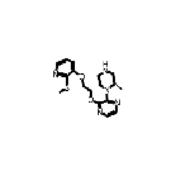 CSc1ncccc1OCCOc1nccnc1N1CCNC[C@H]1C